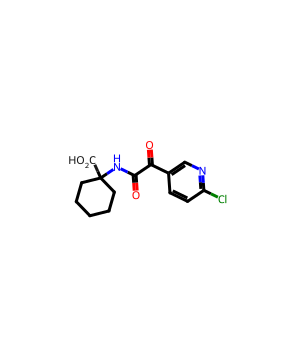 O=C(NC1(C(=O)O)CCCCC1)C(=O)c1ccc(Cl)nc1